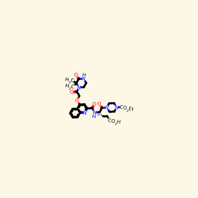 CCOC(=O)N1CCN(C(=O)[C@H](CCC(=O)O)NC(=O)c2cc(OCC(=O)N3CCNC(=O)C3(C)C)c3ccccc3n2)CC1